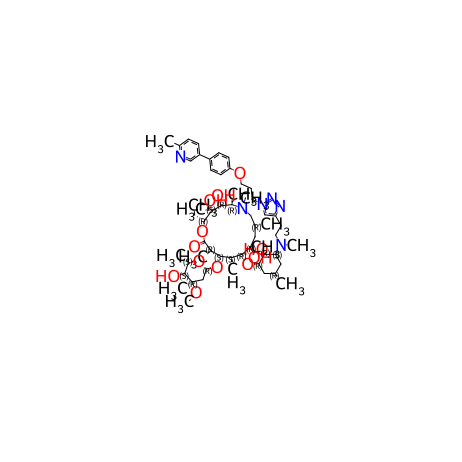 CC[C@H]1OC(=O)[C@H](C)[C@@H](O[C@H]2C[C@@](C)(OC)[C@@H](O)[C@H](C)O2)[C@H](C)[C@@H](O[C@@H]2C[C@H](C)C[C@H](N(C)CCc3cn(CCCOc4ccc(-c5ccc(C)nc5)cc4)nn3)[C@H]2O)[C@](C)(O)C[C@@H](C)CN(C)[C@H](C)[C@@H](O)[C@]1(C)O